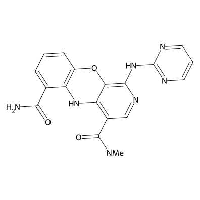 CNC(=O)c1cnc(Nc2ncccn2)c2c1Nc1c(cccc1C(N)=O)O2